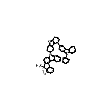 CC1(C)c2ccccc2-c2c1ccc1c2c2ccccc2n1-c1ccc2oc3cccc(-c4ccc5c(c4)c4ccccc4n5-c4ccccc4)c3c2c1